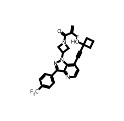 C=C(F)C(=O)N1CC(n2nc(-c3ccc(C(F)(F)F)cc3)c3nccc(C#CC4(O)CCC4)c32)C1